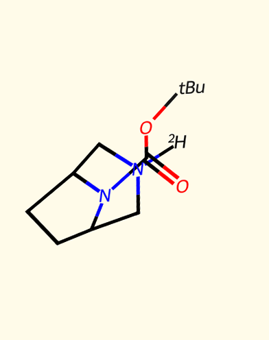 [2H]N1CC2CCC(C1)N2C(=O)OC(C)(C)C